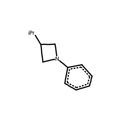 CC(C)C1CN(c2ccccc2)C1